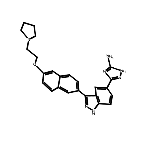 Nc1nc(-c2ccc3[nH]nc(-c4ccc5cc(OCCN6CCCC6)ccc5c4)c3c2)n[nH]1